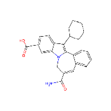 NC(=O)C1=Cc2ccccc2-c2c(C3CCCCC3)c3ccc(C(=O)O)cc3n2C1